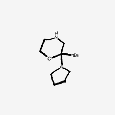 CCCCC1(N2CCCC2)CNCCO1